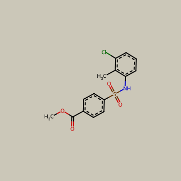 COC(=O)c1ccc(S(=O)(=O)Nc2cccc(Cl)c2C)cc1